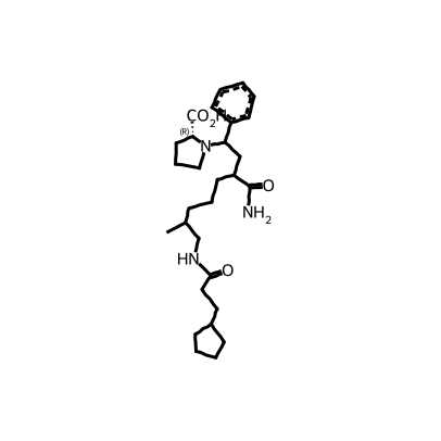 CC(CCCC(CC(c1ccccc1)N1CCC[C@@H]1C(=O)O)C(N)=O)CNC(=O)CCC1CCCC1